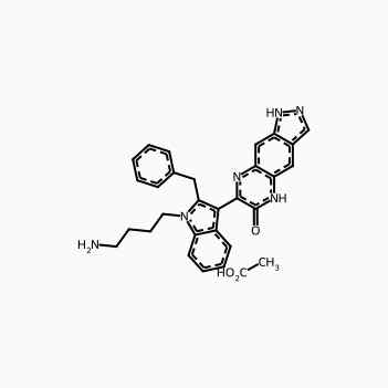 CC(=O)O.NCCCCn1c(Cc2ccccc2)c(-c2nc3cc4[nH]ncc4cc3[nH]c2=O)c2ccccc21